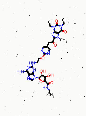 CCNC(=O)C1=C(O)[C@@H](O)[C@H](n2cnc3c(N)nc(NCCOc4ncc(CC(=O)c5nc6c(c(=O)n(CC)c(=O)n6CC)n5C)cn4)nc32)O1